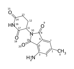 Cc1cc(N)c2c(c1)C(=O)N(C1CCC(=O)NC1=O)C2=O